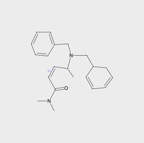 CC(/C=C\C(=O)N(C)C)N(Cc1ccccc1)CC1C=CC=CC1